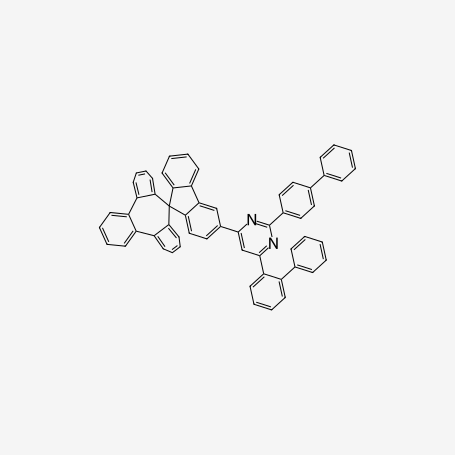 c1ccc(-c2ccc(-c3nc(-c4ccc5c(c4)-c4ccccc4C54c5ccccc5-c5ccccc5-c5ccccc54)cc(-c4ccccc4-c4ccccc4)n3)cc2)cc1